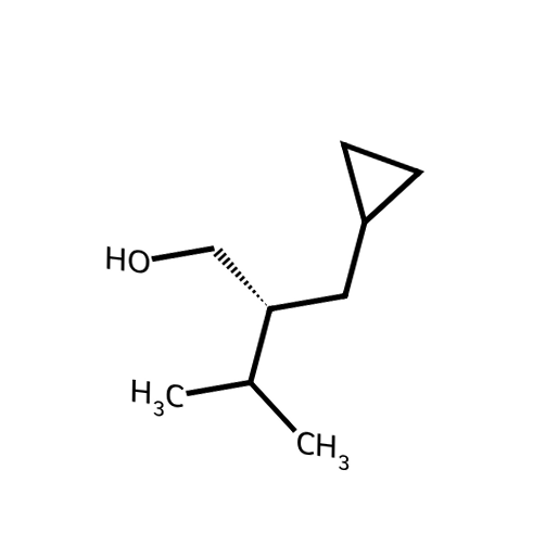 CC(C)[C@H](CO)CC1CC1